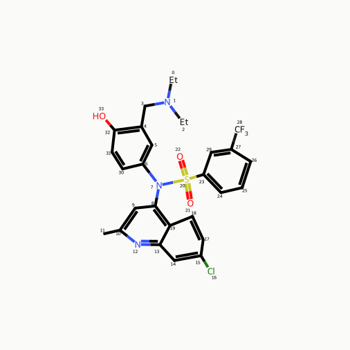 CCN(CC)Cc1cc(N(c2cc(C)nc3cc(Cl)ccc23)S(=O)(=O)c2cccc(C(F)(F)F)c2)ccc1O